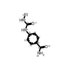 CCNC(=O)Nc1ccc(C(N)=O)cc1